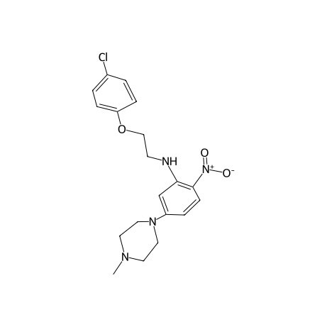 CN1CCN(c2ccc([N+](=O)[O-])c(NCCOc3ccc(Cl)cc3)c2)CC1